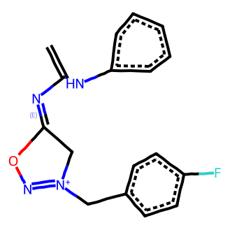 C=C(/N=C1\C[N+](Cc2ccc(F)cc2)=NO1)Nc1ccccc1